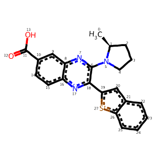 C[C@H]1CCCN1c1nc2cc(C(=O)O)ccc2nc1-c1cc2ccccc2s1